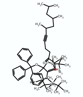 CC(C)CC(C)CC(C)C#CCCC(=O)C(C)C=C(O[Si](C)(C)C(C)(C)C)C(OC(c1ccccc1)(c1ccccc1)c1ccccc1)(O[Si](C)(C)C(C)(C)C)O[Si](C)(C)C(C)(C)C